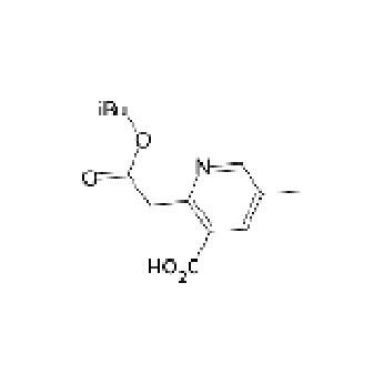 CCC(C)OC(=O)Cc1ncc(C)cc1C(=O)O